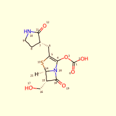 O=C(O)OC1=C(C[C@@H]2CCNC2=O)S[C@@H]2[C@@H](CO)C(=O)N12